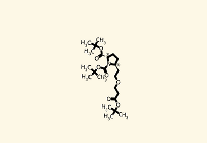 CC(C)(C)OC(=O)CCOCC[C@@H]1CC[C@@H](C(=O)OC(C)(C)C)N1C(=O)OC(C)(C)C